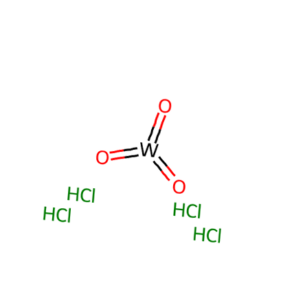 Cl.Cl.Cl.Cl.[O]=[W](=[O])=[O]